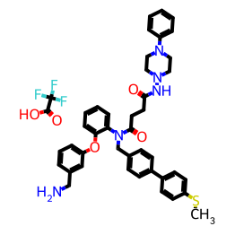 CSc1ccc(-c2ccc(CN(C(=O)CCC(=O)NN3CCN(c4ccccc4)CC3)c3ccccc3Oc3cccc(CN)c3)cc2)cc1.O=C(O)C(F)(F)F